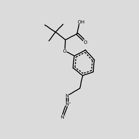 CC(C)(C)C(Oc1cccc(CN=[N+]=[N-])c1)C(=O)O